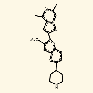 COc1cc2nc(C3CCNCC3)ccc2nc1-c1cc2c(C)nc(C)cn2n1